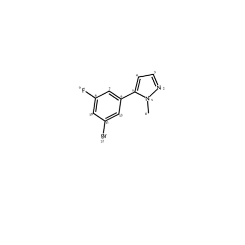 Cn1nccc1-c1cc(F)cc(Br)c1